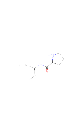 CC(C)CC([C]=O)NC(=O)C1CCCN1